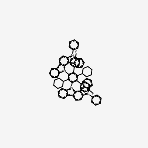 Fc1ccc(-c2c(C3CCCCC3)c(-c3ccc(F)cc3)c(-n3c4ccccc4c4ccc5c(c6ccccc6n5-c5ccccc5)c43)c(C3CCCCC3)c2-n2c3ccccc3c3ccc4c(c5ccccc5n4-c4ccccc4)c32)cc1